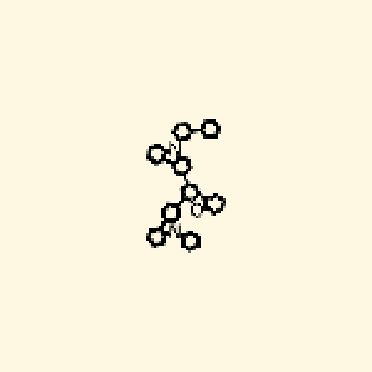 c1ccc(-c2cccc(-n3c4ccccc4c4cc(-c5cc(-c6ccc7c8ccccc8n(-c8ccccc8)c7c6)c6oc7ccccc7c6c5)ccc43)c2)cc1